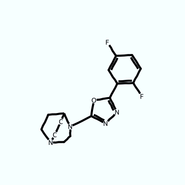 Fc1ccc(F)c(-c2nnc(N3CCN4CCC3CC4)o2)c1